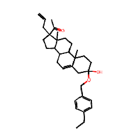 C=CCC1(C(C)=O)CCC2C3CC=C4CC(O)(OCc5ccc(CC)cc5)CCC4(C)C3CCC21C